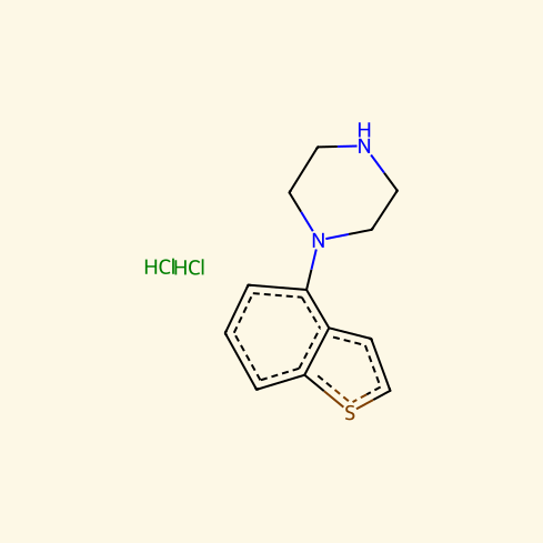 Cl.Cl.c1cc(N2CCNCC2)c2ccsc2c1